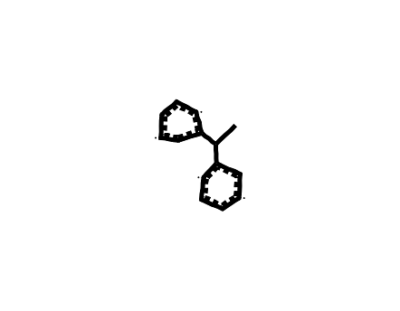 CC(c1[c]cc[c]c1)c1[c]cc[c]c1